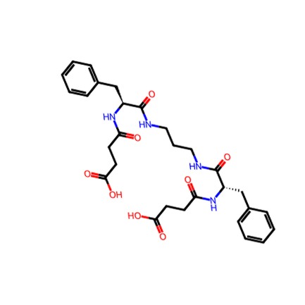 O=C(O)CCC(=O)N[C@@H](Cc1ccccc1)C(=O)NCCCNC(=O)[C@H](Cc1ccccc1)NC(=O)CCC(=O)O